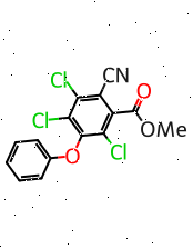 COC(=O)c1c(Cl)c(Oc2ccccc2)c(Cl)c(Cl)c1C#N